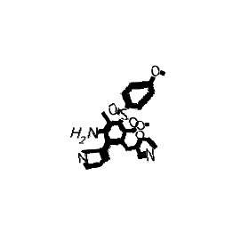 COC(=O)c1c(Cc2cccnc2)c(-c2cccnc2)c(N)c(C)c1S(=O)(=O)c1ccc(OC)cc1